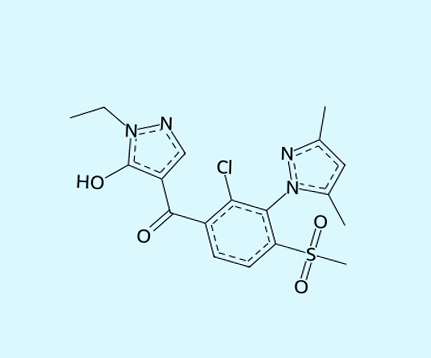 CCn1ncc(C(=O)c2ccc(S(C)(=O)=O)c(-n3nc(C)cc3C)c2Cl)c1O